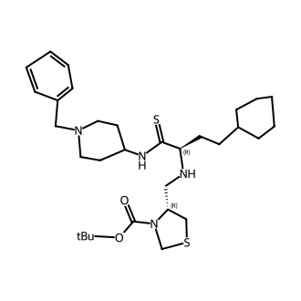 CC(C)(C)OC(=O)N1CSC[C@H]1CN[C@H](CCC1CCCCC1)C(=S)NC1CCN(Cc2ccccc2)CC1